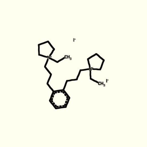 CC[N+]1(CCCc2ccccc2CCC[N+]2(CC)CCCC2)CCCC1.[I-].[I-]